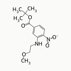 COCCNc1cc(C(=O)OC(C)(C)C)ccc1[N+](=O)[O-]